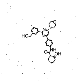 O=C(Nc1ccc(-c2cc(N3CCOCC3)nc(-c3cccc(CO)c3)n2)cc1)C1CCCC[C@@H]1O